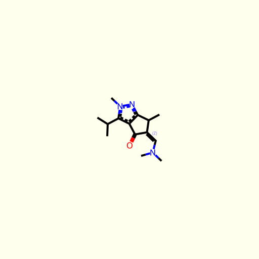 CC(C)c1c2c(nn1C)C(C)/C(=C/N(C)C)C2=O